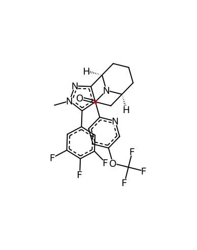 Cn1nc2c(c1-c1cc(F)c(F)c(F)c1)C[C@@H]1CCC[C@H]2N1C(=O)c1ccc(OC(F)(F)F)cn1